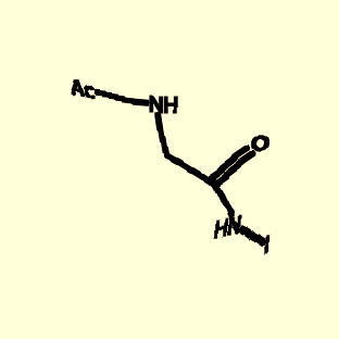 CC(=O)NCC(=O)NI